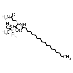 CCCCCCCCCCCCCCCCCC(=O)N[C@@H](CCC(N)=O)C(=O)OC(C)(C)C